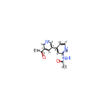 CCC(=O)Nc1cc(-c2cncc(C(=O)CC)c2)ccn1